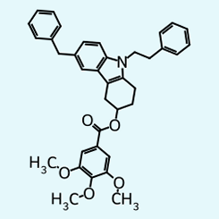 COc1cc(C(=O)OC2CCc3c(c4cc(Cc5ccccc5)ccc4n3CCc3ccccc3)C2)cc(OC)c1OC